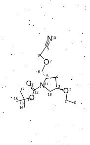 CCO[C@@H]1C[C@@H](COCC#N)N(C(=O)OC(C)(C)C)C1